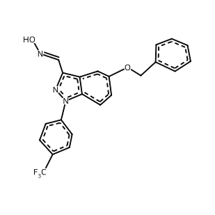 O/N=C/c1nn(-c2ccc(C(F)(F)F)cc2)c2ccc(OCc3ccccc3)cc12